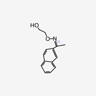 C/C(=N/OCCO)c1ccc2ccccc2c1